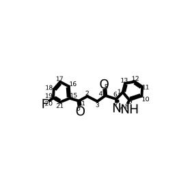 O=C(CCC(=O)c1n[nH]c2ccccc12)c1cccc(F)c1